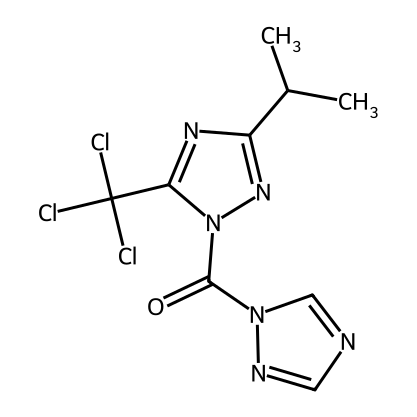 CC(C)c1nc(C(Cl)(Cl)Cl)n(C(=O)n2cncn2)n1